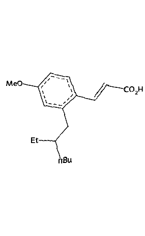 CCCCC(CC)Cc1cc(OC)ccc1/C=C/C(=O)O